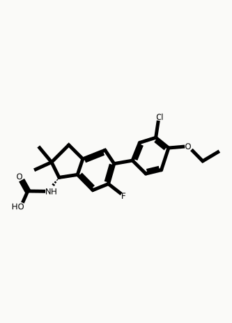 CCOc1ccc(-c2cc3c(cc2F)[C@H](NC(=O)O)C(C)(C)C3)cc1Cl